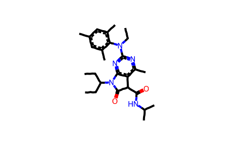 CCC(CC)N1C(=O)C(C(=O)NC(C)C)c2c(C)nc(N(CC)c3c(C)cc(C)cc3C)nc21